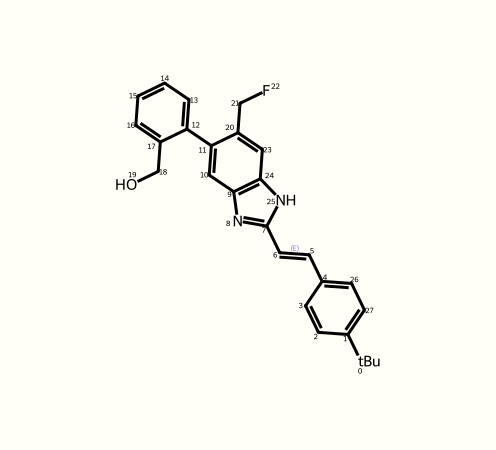 CC(C)(C)c1ccc(/C=C/c2nc3cc(-c4ccccc4CO)c(CF)cc3[nH]2)cc1